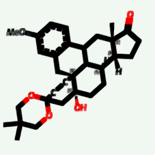 COc1ccc2c(c1)C[C@]13CCC4(C[C@]1(O)CC[C@@H]1C3C2C[C@]2(C)C(=O)CC[C@H]12)OCC(C)(C)CO4